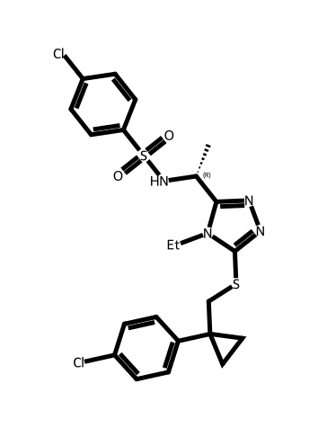 CCn1c(SCC2(c3ccc(Cl)cc3)CC2)nnc1[C@@H](C)NS(=O)(=O)c1ccc(Cl)cc1